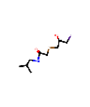 CC(C)CNC(=O)CSCC(O)CI